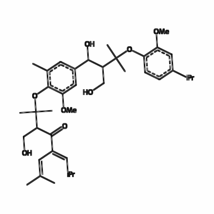 COc1cc(C(C)C)ccc1OC(C)(C)C(CO)C(O)c1cc(C)c(OC(C)(C)C(CO)C(=O)/C(C=C(C)C)=C/C(C)C)c(OC)c1